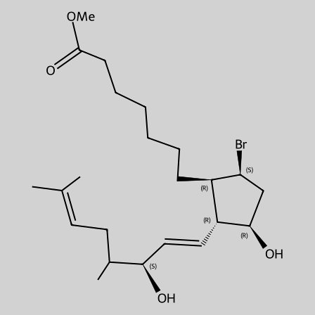 COC(=O)CCCCCC[C@@H]1[C@@H](C=C[C@@H](O)C(C)CC=C(C)C)[C@H](O)C[C@@H]1Br